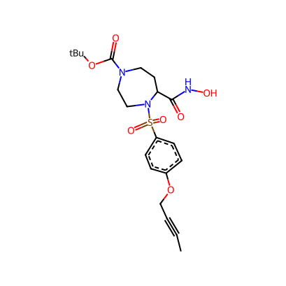 CC#CCOc1ccc(S(=O)(=O)N2CCN(C(=O)OC(C)(C)C)CCC2C(=O)NO)cc1